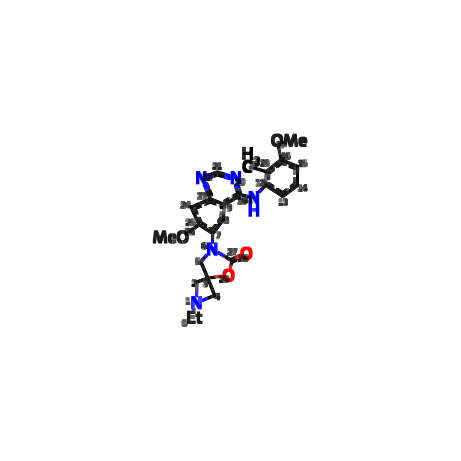 CCN1CC2(C1)CN(c1cc3c(Nc4cccc(OC)c4C)ncnc3cc1OC)C(=O)O2